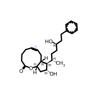 C[C@@H](CC[C@@H](O)CCc1ccccc1)[C@@H]1[C@H]2C/C=C\CCCC(=O)O[C@H]2C[C@H]1O